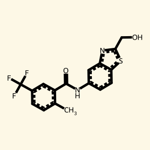 Cc1ccc(C(F)(F)F)cc1C(=O)Nc1ccc2sc(CO)nc2c1